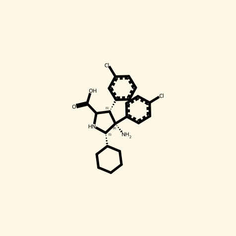 N[C@]1(c2ccc(Cl)cc2)[C@H](C2CCCCC2)NC(C(=O)O)[C@@H]1c1cccc(Cl)c1